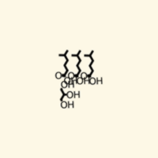 CC(C)CCCC(=O)O.CC(C)CCCC(=O)O.CC(C)CCCC(=O)O.OCC(O)CO